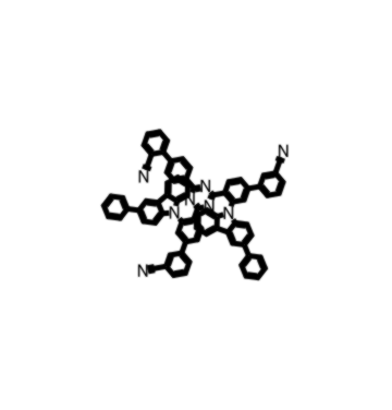 N#Cc1cccc(-c2ccc(-c3nc(-c4ccc(-c5ccccc5C#N)cc4)nc(-c4ccc(-c5cccc(C#N)c5)cc4-n4c5ccccc5c5cc(-c6ccccc6)ccc54)n3)c(-n3c4ccccc4c4cc(-c5ccccc5)ccc43)c2)c1